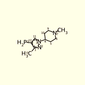 Cc1nn(C2CCN(C)CC2)cc1P